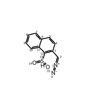 [N-]=[N+]=Cc1ccc2ccccc2c1[SH](=O)=O